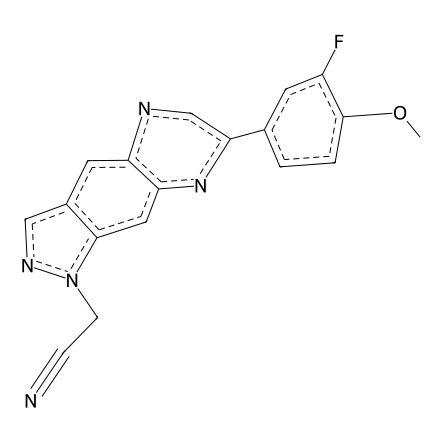 COc1ccc(-c2cnc3cc4cnn(CC#N)c4cc3n2)cc1F